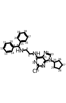 Clc1nc(NCCNC(c2ccccc2)c2ccccc2)c2ncn(C3CCCC3)c2n1